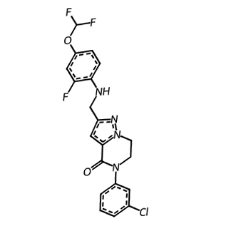 O=C1c2cc(CNc3ccc(OC(F)F)cc3F)nn2CCN1c1cccc(Cl)c1